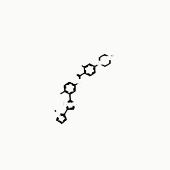 Cc1cc(N2C[C@@H](C)N(C)[C@@H](C)C2)ccc1C(=O)Nc1ccc(Cl)c(-c2ncc(-c3cccn3C)[nH]2)c1